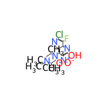 C[C@H]1CN(C(C)(C)C)[C@@H](C)CN1c1c([N+](=O)[O-])c(O)nc2c(F)c(Cl)ncc12